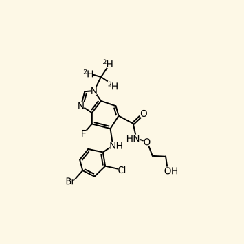 [2H]C([2H])([2H])n1cnc2c(F)c(Nc3ccc(Br)cc3Cl)c(C(=O)NOCCO)cc21